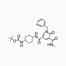 CNC(=O)c1cc(C(=O)NC2CCC(NC(=O)OC(C)(C)C)CC2)cn(Cc2ccccc2)c1=O